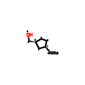 CN[C@@H]1CC[C@@H](CO)C1